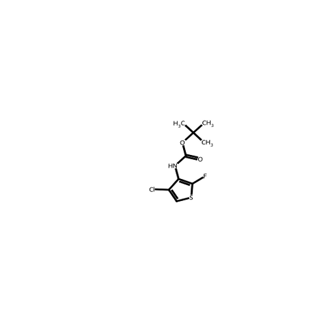 CC(C)(C)OC(=O)Nc1c(Cl)csc1F